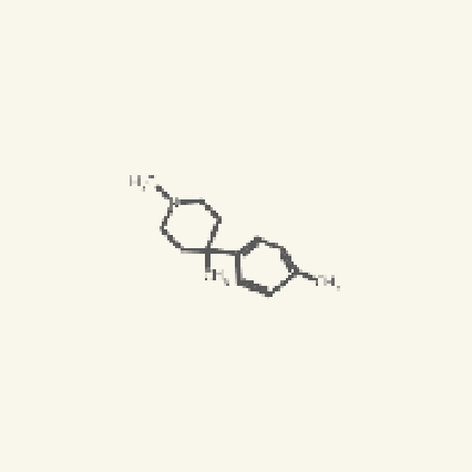 Cc1ccc(C2(C)CCN(C)CC2)cc1